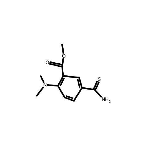 COC(=O)c1cc(C(N)=S)ccc1N(C)C